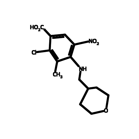 Cc1c(Cl)c(C(=O)O)cc([N+](=O)[O-])c1NCC1CCOCC1